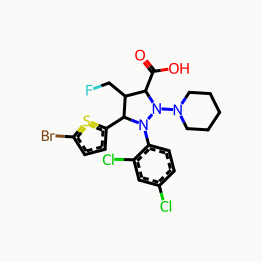 O=C(O)C1C(CF)C(c2ccc(Br)s2)N(c2ccc(Cl)cc2Cl)N1N1CCCCC1